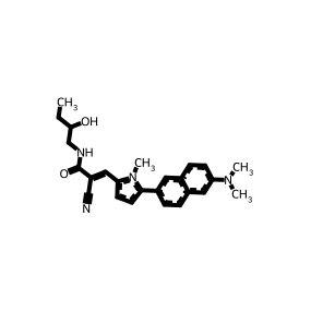 CCC(O)CNC(=O)/C(C#N)=C/c1ccc(-c2ccc3cc(N(C)C)ccc3c2)n1C